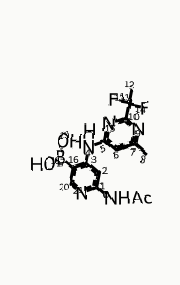 CC(=O)Nc1cc(Nc2cc(C)nc(C(C)(F)F)n2)c(B(O)O)cn1